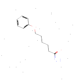 NC(=O)CCCCCOc1ccccc1